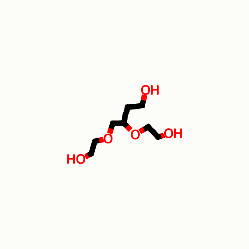 OCCOCC(CCO)OCCO